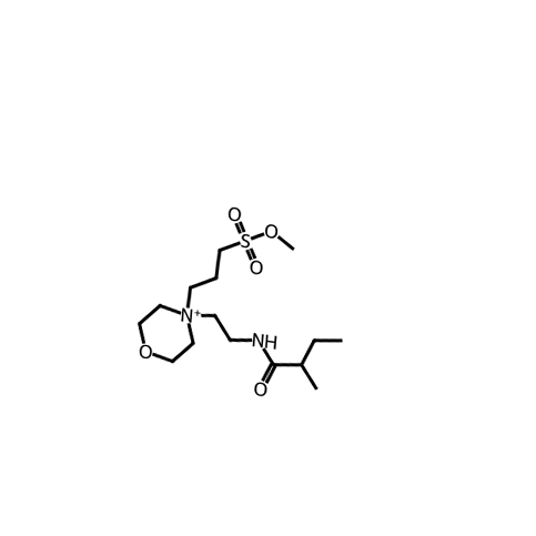 CCC(C)C(=O)NCC[N+]1(CCCS(=O)(=O)OC)CCOCC1